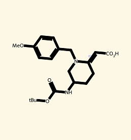 COc1ccc(CN2CC(NC(=O)OC(C)(C)C)CC/C2=C\C(=O)O)cc1